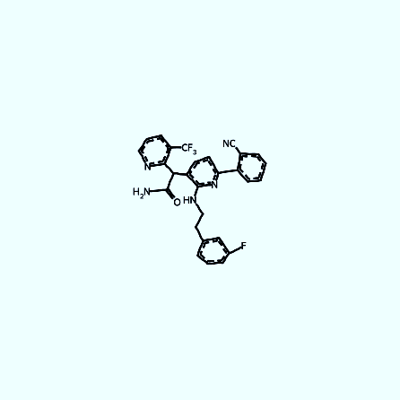 N#Cc1ccccc1-c1ccc(C(C(N)=O)c2ncccc2C(F)(F)F)c(NCCc2cccc(F)c2)n1